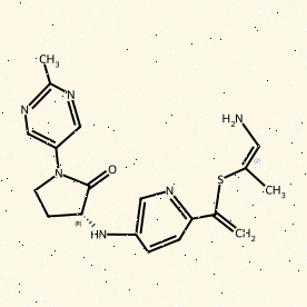 C=C(S/C(C)=C\N)c1ccc(N[C@@H]2CCN(c3cnc(C)nc3)C2=O)cn1